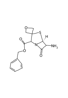 NC1C(=O)N2C(C(=O)OCc3ccccc3)C3(COC3)S[C@@H]12